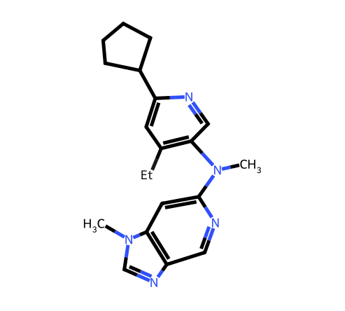 CCc1cc(C2CCCC2)ncc1N(C)c1cc2c(cn1)ncn2C